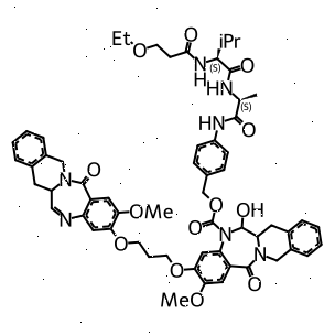 CCOCCC(=O)N[C@H](C(=O)N[C@@H](C)C(=O)Nc1ccc(COC(=O)N2c3cc(OCCCOc4cc5c(cc4OC)C(=O)N4Cc6ccccc6CC4C=N5)c(OC)cc3C(=O)N3Cc4ccccc4CC3C2O)cc1)C(C)C